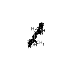 CCCc1cc(C(O)(C(F)(F)F)C(F)(F)F)ncc1N1CCN(C(=O)CN2C(=O)NC(C)(c3ccc4c(c3)CCO4)C2=O)CC1